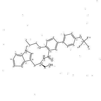 CCCOc1ccc(-c2ccc(OC(F)(F)F)cc2)cc1C(=O)N[C@@H](CO)Cc1cn(C)c2ccccc12